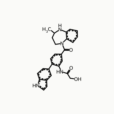 CC1CCN(C(=O)c2ccc(-c3ccc4[nH]ccc4c3)c(NC(=O)CO)c2)c2ccccc2N1